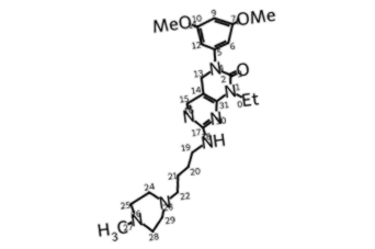 CCN1C(=O)N(c2cc(OC)cc(OC)c2)Cc2cnc(NCCCCN3CCN(C)CC3)nc21